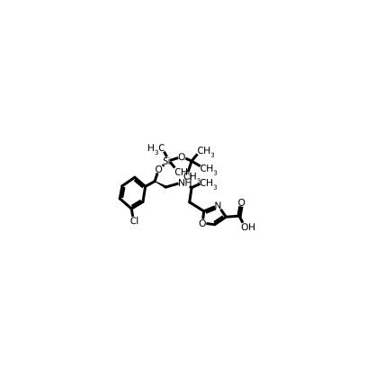 CC(Cc1nc(C(=O)O)co1)NC[C@H](O[Si](C)(C)OC(C)(C)C)c1cccc(Cl)c1